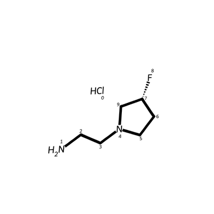 Cl.NCCN1CC[C@@H](F)C1